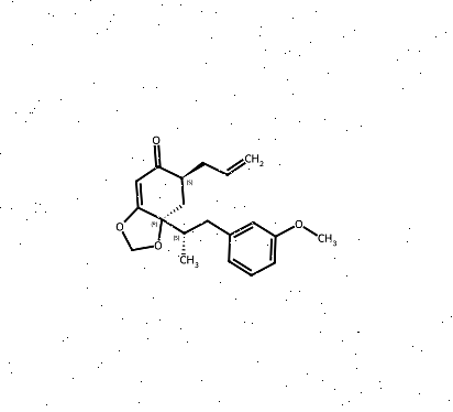 C=CC[C@H]1C[C@]2([C@@H](C)Cc3cccc(OC)c3)OCOC2=CC1=O